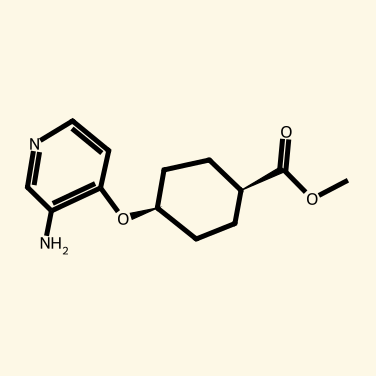 COC(=O)[C@H]1CC[C@@H](Oc2ccncc2N)CC1